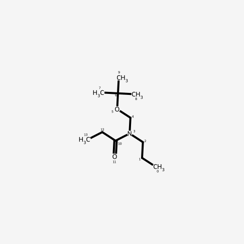 CCCN(COC(C)(C)C)C(=O)CC